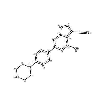 N#Cc1cnn2cc(-c3ccc(N4CCOCC4)nc3)cc(O)c12